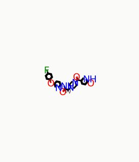 C[C@H](C(=O)Nc1ccc(Oc2ccc(F)cc2)cn1)N1CCN(C(=O)c2ccc(=O)[nH]c2)CC1